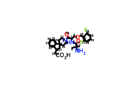 CC(C)(N)C(=O)NC(COCc1c(F)cccc1F)C(=O)N1CCC2(CC1)CC(CC(=O)O)c1ccccc12